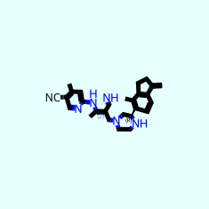 C=C1CCc2c1ccc([C@@H]1CN(C/C(C=N)=C(\C)Nc3cc(C)c(C#N)cn3)CCN1)c2C